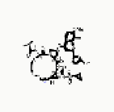 COc1ccc2c(O[C@@H]3C[C@H]4C(=O)N[C@]5(C(=O)NS(=O)(=O)C6CC6)C[C@H]5/C=C\CCCCC[C@H](NC(=O)N(C)C)C(=O)N4C3)cc(-c3nc(C(C)C)cs3)nc2c1C